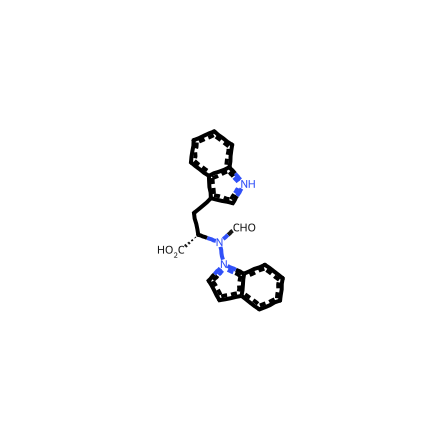 O=CN([C@@H](Cc1c[nH]c2ccccc12)C(=O)O)n1ccc2ccccc21